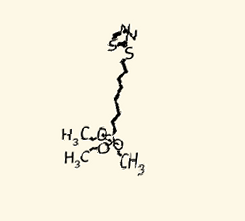 CCO[Si](CCCCCCCCSc1nncs1)(OCC)OCC